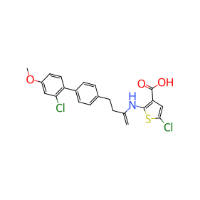 C=C(CCc1ccc(-c2ccc(OC)cc2Cl)cc1)Nc1sc(Cl)cc1C(=O)O